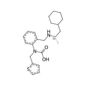 C[C@@H](CC1CCCCC1)NCc1ccccc1N(Cc1cccs1)C(=O)O